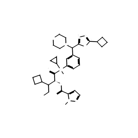 CCC(C1CCC1)[C@H](NC(=O)c1ccnn1C)C(=O)[N+](C)(c1cccc(C(c2nnc(C3CCC3)o2)N2CCOCC2)c1)C1CC1